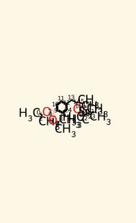 CC(C)OB(OC(C)C)c1ccc(CC(C)O[Si](C)(C)C(C)(C)C)cc1